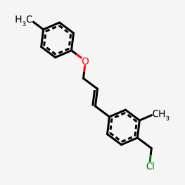 Cc1ccc(OCC=Cc2ccc(CCl)c(C)c2)cc1